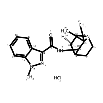 Cl.Cn1nc(C(=O)N[C@@H]2C3CCN(CC3)C2(C)C)c2ccccc21